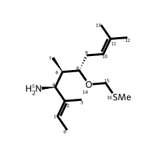 C/C=C(\C)[C@@H](N)[C@@H](C)[C@H](CC=C(C)C)OCSC